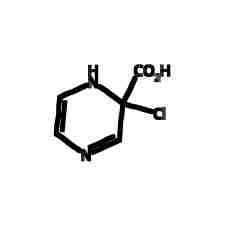 O=C(O)C1(Cl)C=NC=CN1